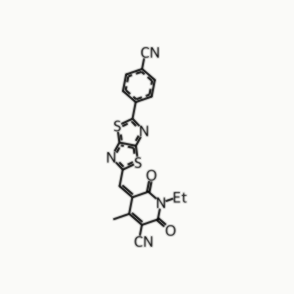 CCN1C(=O)C(C#N)=C(C)/C(=C/c2nc3sc(-c4ccc(C#N)cc4)nc3s2)C1=O